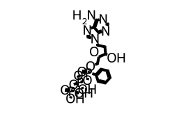 Nc1ncnc2c1ncn2C1CC(O)C(COP(=O)(OP(=O)(O)OP(=O)(O)O)c2ccccc2)O1